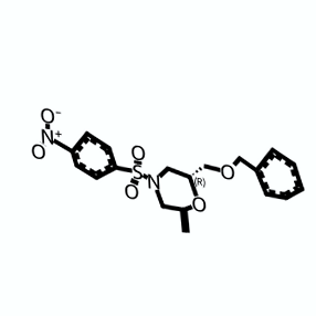 C=C1CN(S(=O)(=O)c2ccc([N+](=O)[O-])cc2)C[C@H](COCc2ccccc2)O1